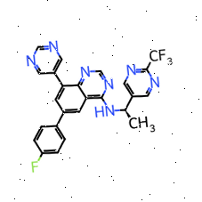 C[C@@H](Nc1ncnc2c(-c3cncnc3)cc(-c3ccc(F)cc3)cc12)c1cnc(C(F)(F)F)nc1